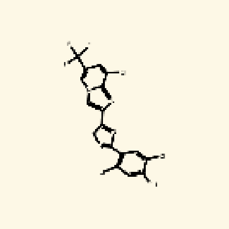 Oc1cc(Cl)c(C2=NCC(c3cn4cc(C(F)(F)F)cc(Cl)c4n3)=N2)cc1Cl